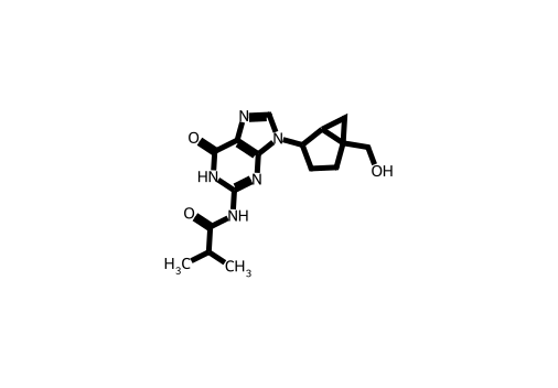 CC(C)C(=O)Nc1nc2c(ncn2C2CCC3(CO)CC23)c(=O)[nH]1